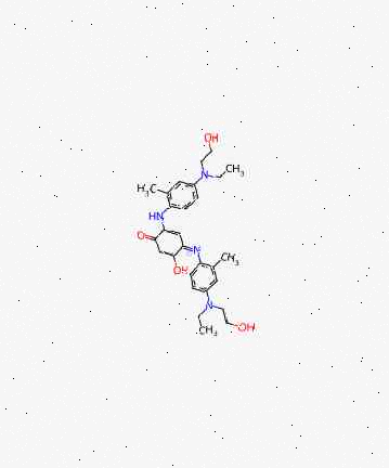 CCN(CCO)c1ccc(/N=C2/C=C(Nc3ccc(N(CC)CCO)cc3C)C(=O)C=C2O)c(C)c1